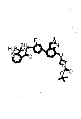 BC1(B)c2ncccc2C(=O)N1Cc1ccc(-c2ccc(OC3CN(C(=O)OC(C)(C)C)C3)c3nn(C)cc23)cc1F